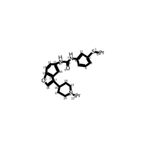 CC(C)Sc1cccc(NC(=O)Nc2ccc3occ(C4CCN(C(C)C)CC4)c3c2)c1